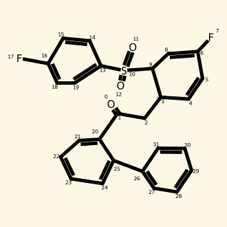 O=C(C[C]1C=CC(F)=CC1S(=O)(=O)c1ccc(F)cc1)c1ccccc1-c1ccccc1